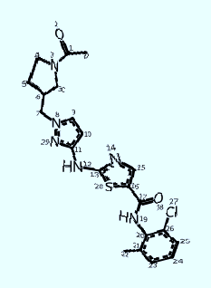 CC(=O)N1CCC(Cn2ccc(Nc3ncc(C(=O)Nc4c(C)cccc4Cl)s3)n2)C1